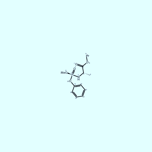 CO[P@@](=O)(N[C@@H](C)C(=O)OC(C)C)Oc1ccccc1